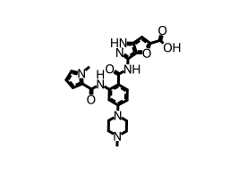 CN1CCN(c2ccc(C(=O)Nc3n[nH]c4cc(C(=O)O)oc34)c(NC(=O)c3cccn3C)c2)CC1